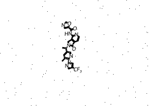 Cc1cc(C(C)N2Cc3c(ccnc3NC(=O)c3cnco3)C2=O)cnc1-n1cc(C(F)(F)F)cn1